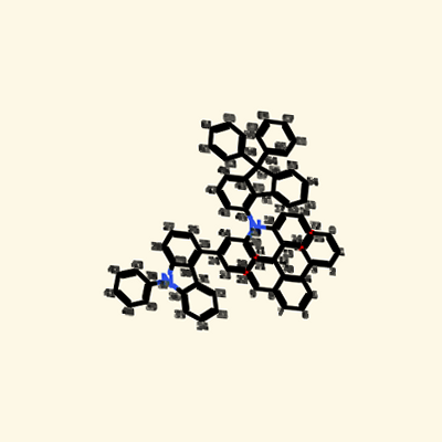 c1ccc(-c2cccc3cccc(-c4ccccc4N(c4cccc(-c5cccc6c5c5ccccc5n6-c5ccccc5)c4)c4cccc5c4-c4ccccc4C5(c4ccccc4)c4ccccc4)c23)cc1